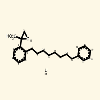 O=C(O)C1(c2ccccc2CCCCCCCCc2ccccc2)CO1.[Li]